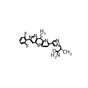 CC(C)c1cc(-c2c(F)cccc2F)nnc1C(C)c1cccc(-c2cnn(C[C@H](C)C(N)=O)c2)n1